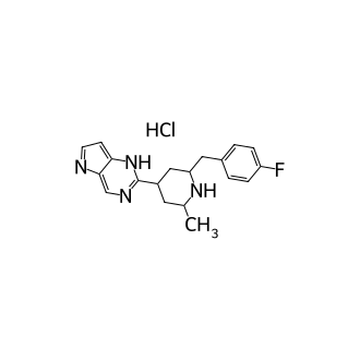 CC1CC(c2ncc3nccc-3[nH]2)CC(Cc2ccc(F)cc2)N1.Cl